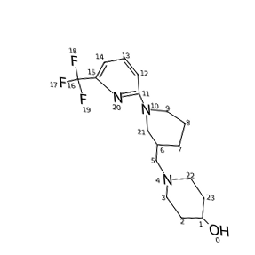 OC1CCN(CC2CCCN(c3cccc(C(F)(F)F)n3)C2)CC1